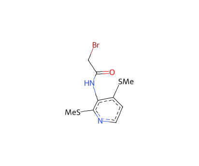 CSc1ccnc(SC)c1NC(=O)CBr